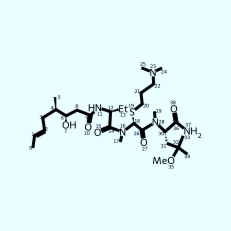 C/C=C/C[C@@H](C)[C@@H](O)CC(=O)N[C@@H](CC)C(=O)N(C)[C@H](SCCCN(C)C)C(=O)N(C)[C@@H](CC(C)(C)OC)C(N)=O